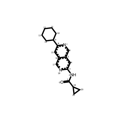 O=C(Nc1cc2cnc(C3CCCCC3)cc2cn1)C1CC1